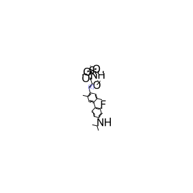 CO/C(=C\c1cc(C)c(-c2ccc(NC(C)C)cc2F)cc1C)C(=O)NS(C)(=O)=O